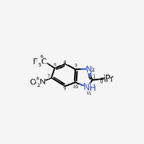 CC(C)c1nc2cc(C(F)(F)F)c([N+](=O)[O-])cc2[nH]1